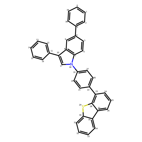 c1ccc(-c2ccc3c(c2)c(-c2ccccc2)cn3-c2ccc(-c3cccc4c3sc3ccccc34)cc2)cc1